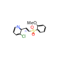 COc1ccccc1S(=O)(=O)/C=C/c1ncccc1Cl